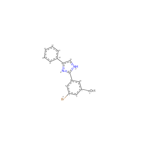 CCCCCCCCc1cc(Br)cc(-c2nc(-c3ccccc3)c[nH]2)c1